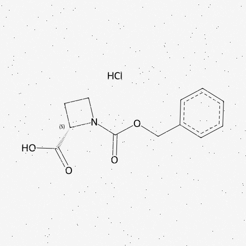 Cl.O=C(O)[C@@H]1CCN1C(=O)OCc1ccccc1